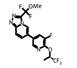 COC(F)(F)c1nnc2ccc(-c3cnc(O[C@H](C)C(F)(F)F)c(F)c3)cn12